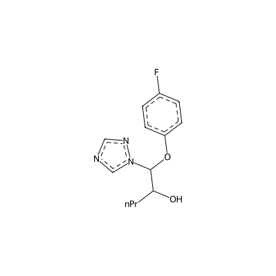 CCCC(O)C(Oc1ccc(F)cc1)n1cncn1